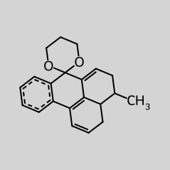 CC1CC=C2C3=C(C=CCC31)c1ccccc1C21OCCCO1